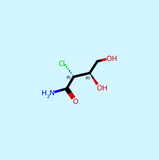 NC(=O)[C@H](Cl)[C@H](O)CO